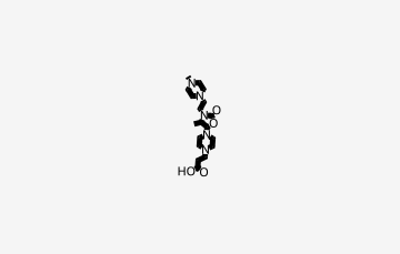 CC1C(N2CCN(CCC(=O)O)CC2)OC(=O)N1CCN1CCN(C)CC1